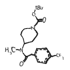 CN(C(=O)c1ccc(C(F)(F)F)cc1)C1CCN(C(=O)OC(C)(C)C)CC1